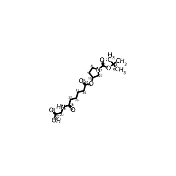 CC(C)(C)OC(=O)N1CCC(OC(=O)CCCCC(=O)NCC(=O)O)C1